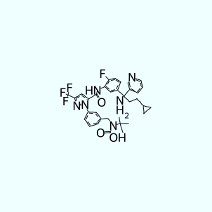 CC(C)(C)N(Cc1cccc(-n2nc(C(F)(F)F)cc2C(=O)Nc2cc(C(N)(CCC3CC3)c3cccnc3)ccc2F)c1)C(=O)O